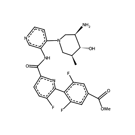 COC(=O)c1cc(F)c(-c2nc(C(=O)Nc3cnccc3N3C[C@@H](N)[C@H](O)[C@@H](C)C3)ccc2F)c(F)c1